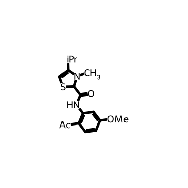 COc1ccc(C(C)=O)c(NC(=O)C2SC=C(C(C)C)N2C)c1